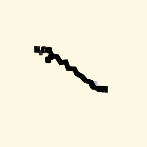 COC(=O)CCCCCCCC/C=C/C#N